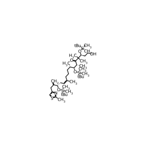 C=C(Cc1csc(C)n1)[C@H](C/C=C(/C)CCC[C@H](C)[C@H](O[Si](C)(C)C(C)(C)C)[C@@H](C)C(=O)C(C)(C)[C@H](CCO)O[Si](C)(C)C(C)(C)C)O[Si](C)(C)C(C)(C)C